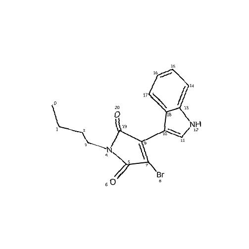 CCCCN1C(=O)C(Br)=C(c2c[nH]c3ccccc23)C1=O